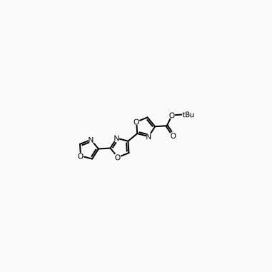 CC(C)(C)OC(=O)c1coc(-c2coc(-c3cocn3)n2)n1